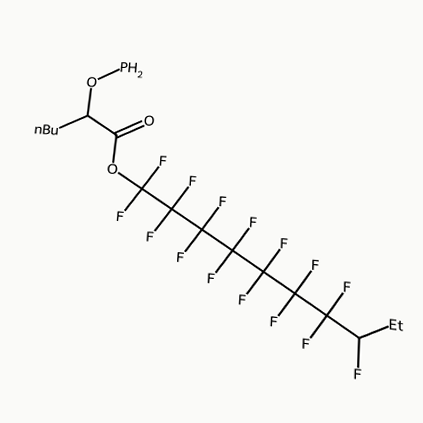 CCCCC(OP)C(=O)OC(F)(F)C(F)(F)C(F)(F)C(F)(F)C(F)(F)C(F)(F)C(F)(F)C(F)CC